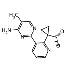 Cc1cnc(-c2cccnc2C2([SH](=O)=O)CC2)nc1N